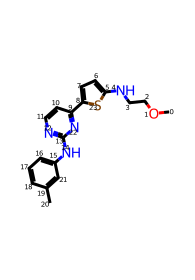 COCCNc1ccc(-c2ccnc(Nc3cccc(C)c3)n2)s1